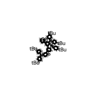 CC(C)(C)c1ccc(N2B3c4cc(C(C)(C)C)ccc4N(c4ccc(C(C)(C)C)cc4)c4c3c(cc3c4oc4ccccc43)-c3cc4c(cc32)sc2ccc(N(c3ccc(C(C)(C)C)cc3)c3ccc(C(C)(C)C)cc3)cc24)cc1